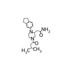 CC(C)CC(=O)N1CCN(c2ccc3c(c2)CCC3)C(CC(N)=O)C1